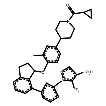 Cc1cc(C2CCN(C(=O)C3CC3)CC2)ccc1OC1CCc2cccc(-c3cccc(-n4ncc(C(=O)O)c4C(F)(F)F)c3)c21